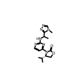 CC(Nc1nccc(N2C(=O)OC[C@@H]2C(C)C)n1)c1nncn1C